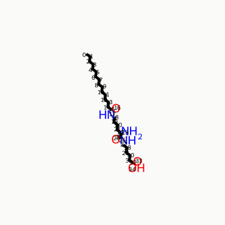 CCCCCCCCCCCCCCCC(=O)NCCCCC(N)C(=O)NCCCCCC(=O)O